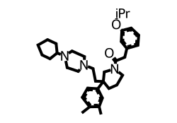 Cc1ccc(C2(CCN3CCN(C4CCCCC4)CC3)CCCN(C(=O)Cc3cccc(OC(C)C)c3)C2)cc1C